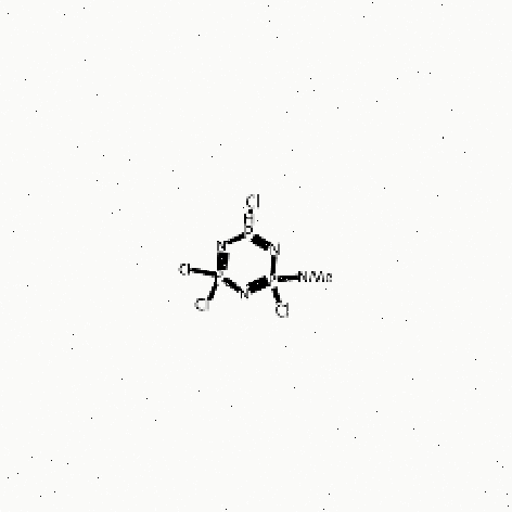 CNP1(Cl)=NP(Cl)(Cl)=N[PH](Cl)=N1